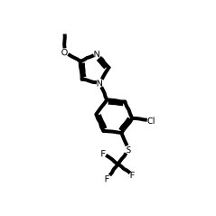 COc1cn(-c2ccc(SC(F)(F)F)c(Cl)c2)cn1